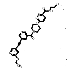 CCCNC(=O)c1ccc(N2CCN(C(=O)c3cncc(C#Cc4cncc(OCC)c4)c3)CC2)nn1